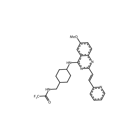 COc1ccc2nc(/C=C/c3ccccn3)nc(NC3CCC(CNC(=O)C(F)(F)F)CC3)c2c1